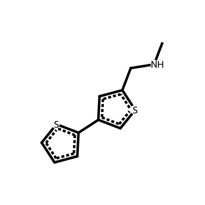 CNCc1cc(-c2cccs2)cs1